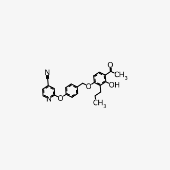 CCCc1c(OCc2ccc(Oc3cc(C#N)ccn3)cc2)ccc(C(C)=O)c1O